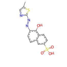 Cc1cnc(N=Nc2ccc3cc(S(=O)(=O)O)ccc3c2O)s1